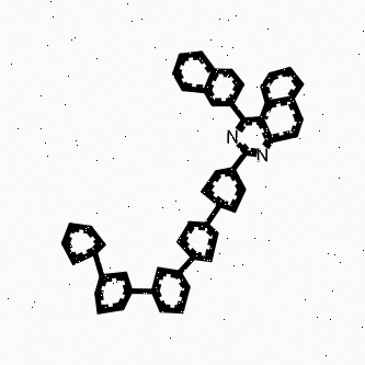 c1ccc(-c2cccc(-c3cccc(-c4ccc(-c5ccc(-c6nc(-c7ccc8ccccc8c7)c7c(ccc8ccccc87)n6)cc5)cc4)c3)c2)cc1